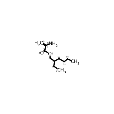 C=C(N)C(=O)OCC(CC)CCCC